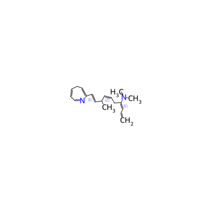 C=C/C=C(\C/C=C\C(C)/C=C/C1=CCC=CC=N1)N(C)C